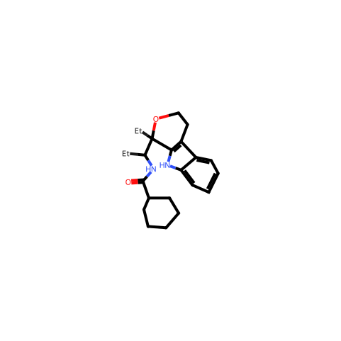 CCC(NC(=O)C1CCCCC1)C1(CC)OCCc2c1[nH]c1ccccc21